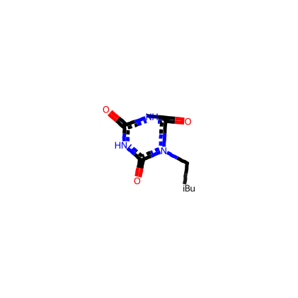 CCC(C)Cn1c(=O)[nH]c(=O)[nH]c1=O